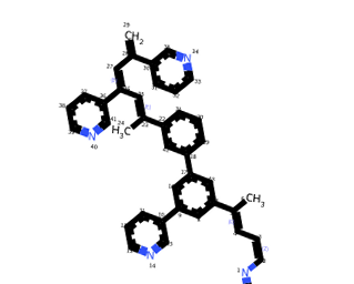 C=N/C=C\C=C(/C)c1cc(-c2cccnc2)cc(-c2cccc(/C(C)=C/C(=C\C(=C)c3cccnc3)c3cccnc3)c2)c1